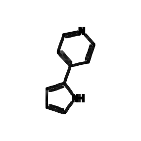 c1c[nH]c(-c2ccncc2)c1